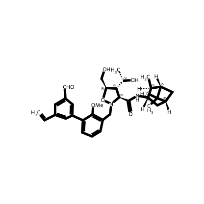 C=Cc1cc(C=O)cc(-c2cccc(CN3O[C@@H](CO)[C@H]([C@H](C)O)[C@H]3C(=O)N[C@H]3C[C@H]4C[C@@H]([C@@H]3C)C4(C)C)c2OC)c1